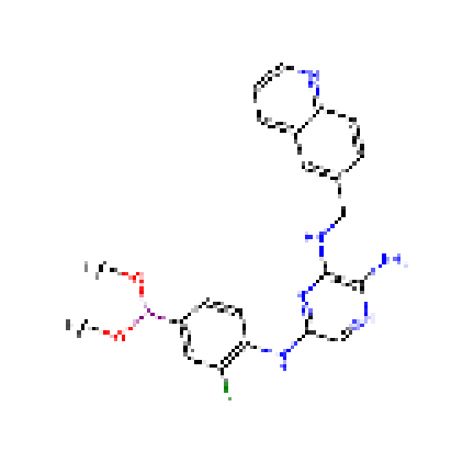 COP(OC)c1ccc(Nc2cnc(N)c(NCc3ccc4ncccc4c3)n2)c(F)c1